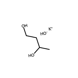 CC(O)CCO.[K+].[OH-]